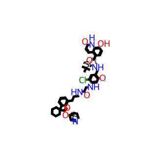 COc1cc(NCC(=O)NCCCc2cccc(C3(C(=O)OC4CN5CCC4CC5)CCCCC3)c2)c(Cl)cc1CNC[C@H](O[Si](C)(C)C(C)(C)C)c1ccc(O)c2[nH]c(=O)ccc12